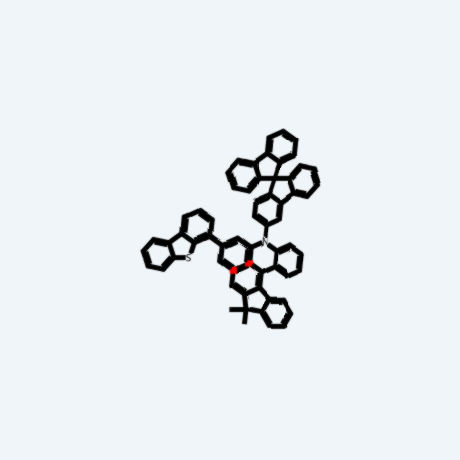 CC1(C)c2ccccc2-c2c(-c3ccccc3N(c3cccc(-c4cccc5c4sc4ccccc45)c3)c3ccc4c(c3)-c3ccccc3C43c4ccccc4-c4ccccc43)cccc21